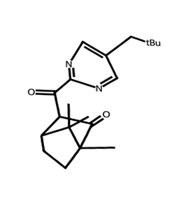 CC(C)(C)Cc1cnc(C(=O)C2C(=O)C3(C)CCC2C3(C)C)nc1